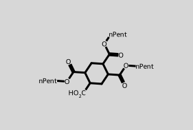 CCCCCOC(=O)C1CC(C(=O)OCCCCC)C(C(=O)OCCCCC)CC1C(=O)O